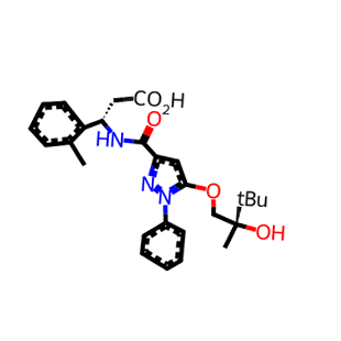 Cc1ccccc1[C@H](CC(=O)O)NC(=O)c1cc(OC[C@@](C)(O)C(C)(C)C)n(-c2ccccc2)n1